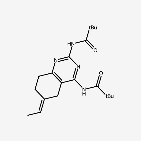 CC=C1CCc2nc(NC(=O)C(C)(C)C)nc(NC(=O)C(C)(C)C)c2C1